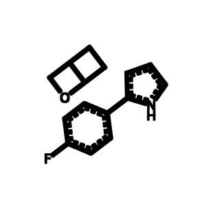 C1CC2OCC12.Fc1ccc(-c2ccc[nH]2)cc1